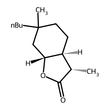 CCCCC1(C)CC[C@H]2[C@H](C)C(=O)O[C@@H]2C1